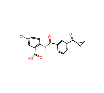 O=C(Nc1ccc(Cl)cc1C(=O)O)c1cccc(C(=O)C2CC2)c1